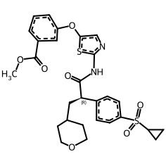 COC(=O)c1cccc(Oc2cnc(NC(=O)[C@H](CC3CCOCC3)c3ccc(S(=O)(=O)C4CC4)cc3)s2)c1